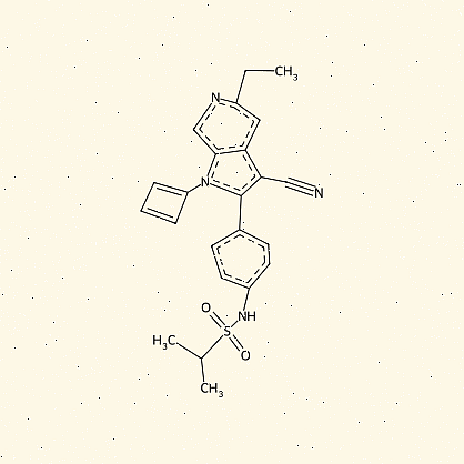 CCc1cc2c(C#N)c(-c3ccc(NS(=O)(=O)C(C)C)cc3)n(C3=CC=C3)c2cn1